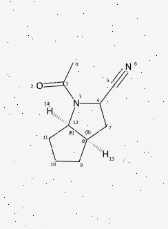 CC(=O)N1C(C#N)C[C@H]2CCC[C@H]21